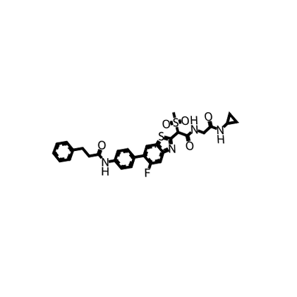 CS(=O)(=O)C(C(=O)NCC(=O)NC1CC1)c1nc2cc(F)c(-c3ccc(NC(=O)CCc4ccccc4)cc3)cc2s1